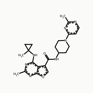 Cc1nccc(N2CCC(NC(=O)c3coc4nc(C)nc(NC5(C)CC5)c34)CC2)n1